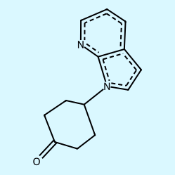 O=C1CCC(n2ccc3cccnc32)CC1